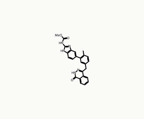 COC(=O)Nc1nc2cc(-c3cc(Cc4n[nH]c(=O)c5ccccc45)ccc3C)ccc2[nH]1